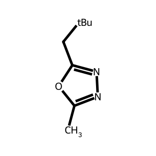 Cc1nnc(CC(C)(C)C)o1